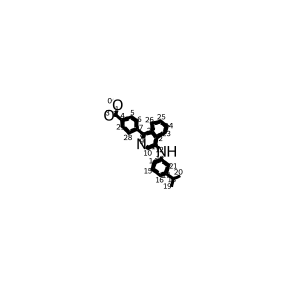 COC(=O)c1ccc(-c2ncc(Nc3cccc(C(C)C)c3)c3ccccc23)cc1